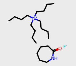 CCCC[N+](CCCC)(CCCC)CCCC.O=C1CCCCCN1.[F-]